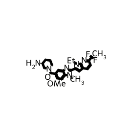 CCn1c(-c2nc3cc(C(=O)N4CCC[C@@H](N)C4)cc(OC)c3n2C)cc2ccc(C(C)(F)F)nc21